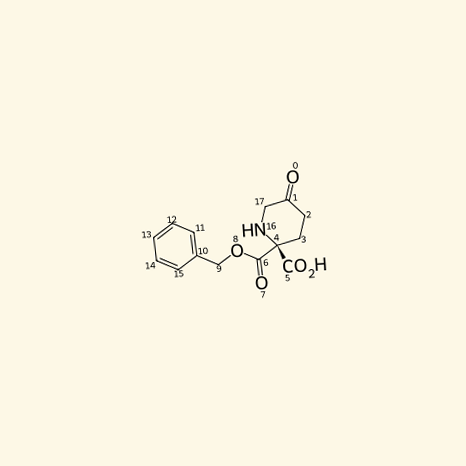 O=C1CC[C@](C(=O)O)(C(=O)OCc2ccccc2)NC1